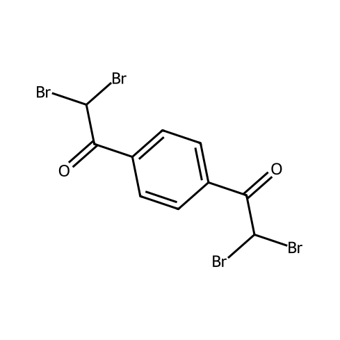 O=C(c1ccc(C(=O)C(Br)Br)cc1)C(Br)Br